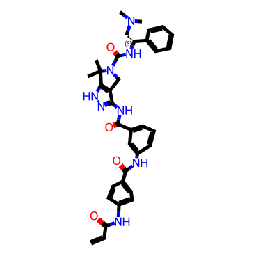 C=CC(=O)Nc1ccc(C(=O)Nc2cccc(C(=O)Nc3n[nH]c4c3CN(C(=O)N[C@H](CN(C)C)c3ccccc3)C4(C)C)c2)cc1